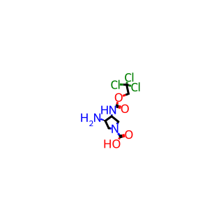 N[C@@H]1CN(C(=O)O)C[C@@H]1NC(=O)OCC(Cl)(Cl)Cl